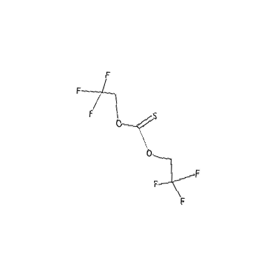 FC(F)(F)COC(=S)OCC(F)(F)F